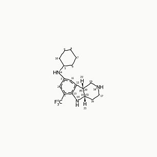 FC(F)(F)c1cc(NC2CCCCC2)cc2c1N[C@H]1CCNC[C@@H]21